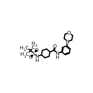 CC(C)(C)S(=O)(=O)NC1CCC(C(=O)Nc2cccc(N3CCOCC3)c2)CC1